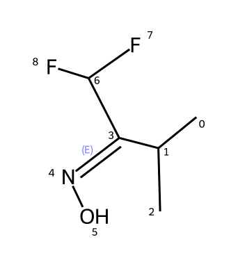 CC(C)/C(=N\O)C(F)F